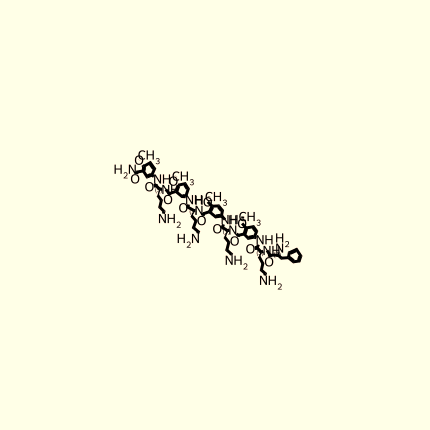 COc1ccc(NC(=O)[C@H](CCCCN)NC(=O)c2cc(NC(=O)[C@H](CCCCN)NC(=O)c3cc(NC(=O)[C@H](CCCCN)NC(=O)c4cc(NC(=O)[C@H](CCCCN)NC(=O)[C@@H](N)Cc5ccccc5)ccc4OC)ccc3OC)ccc2OC)cc1C(N)=O